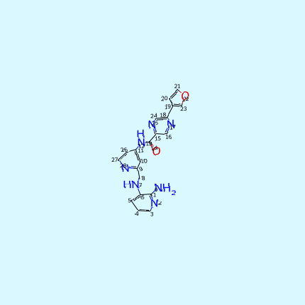 Nc1ncccc1NCc1cc(NC(=O)c2cnc(-c3ccoc3)cn2)ccn1